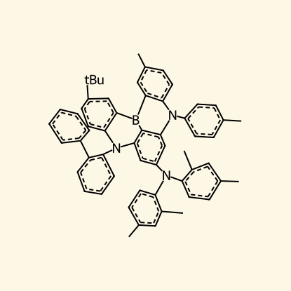 Cc1ccc(N2c3ccc(C)cc3B3c4cc(C(C)(C)C)ccc4N(c4ccccc4-c4ccccc4)c4cc(N(c5ccc(C)cc5C)c5ccc(C)cc5C)cc2c43)cc1